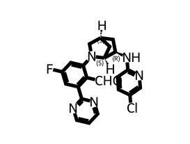 O=Cc1c(-c2ncccn2)cc(F)cc1N1C[C@H]2C[C@@H](Nc3ccc(Cl)cn3)[C@@H]1C2